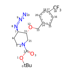 CC(C)(C)OC(=O)N1CC[C@@H](N=[N+]=[N-])[C@H](OCc2ccc(C(F)(F)F)cc2)C1